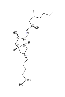 CCCCC(C)C[C@@H](O)/C=C/[C@@H]1[C@H]2C/C(=C/CCCC(=O)O)C[C@@H]2C[C@H]1O